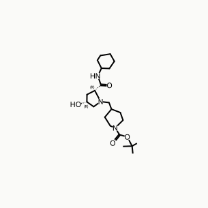 CC(C)(C)OC(=O)N1CCC(CN2C[C@H](O)C[C@@H]2C(=O)NC2CCCCC2)CC1